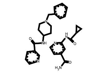 NC(=O)c1ccnc(NC(=O)C2CC2)c1.O=C(NC1CCN(Cc2ccccc2)CC1)c1cccnc1